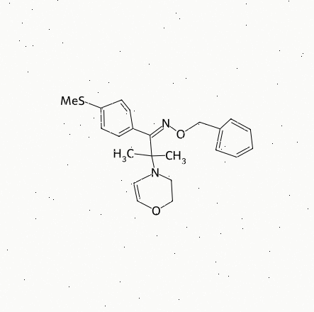 CSc1ccc(/C(=N/OCc2ccccc2)C(C)(C)N2C=COCC2)cc1